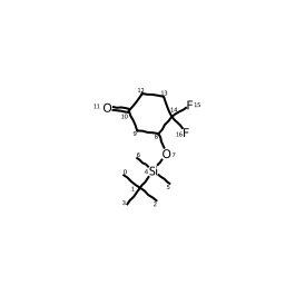 CC(C)(C)[Si](C)(C)OC1CC(=O)CCC1(F)F